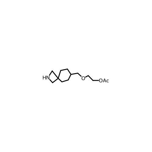 CC(=O)OCCOCC1CCC2(CC1)CNC2